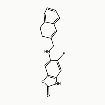 O=c1[nH]c2cc(F)c(NCC3=Cc4ccccc4CC3)cc2o1